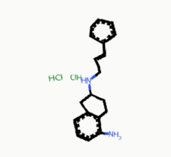 Cl.Cl.Nc1cccc2c1CCC(NC/C=C/c1ccccc1)C2